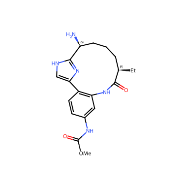 CC[C@@H]1CCC[C@H](N)c2nc(c[nH]2)-c2ccc(NC(=O)OC)cc2NC1=O